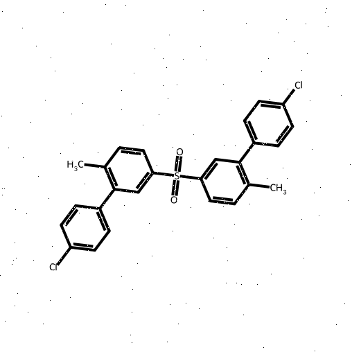 Cc1ccc(S(=O)(=O)c2ccc(C)c(-c3ccc(Cl)cc3)c2)cc1-c1ccc(Cl)cc1